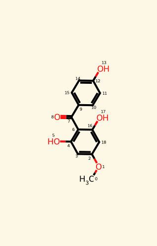 COc1cc(O)c(C(=O)c2ccc(O)cc2)c(O)c1